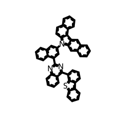 c1ccc2cc3c(cc2c1)c1c2ccccc2ccc1n3-c1cc(-c2nc(-c3cccc4c3sc3ccccc34)c3ccccc3n2)c2ccccc2c1